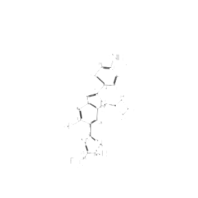 Nc1ccc(-c2cc3cc(F)c(-c4n[nH]c(C(F)(F)F)n4)cc3n2C2CCC2)cc1